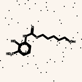 CCCCCCCCCCCCCCCOC(=O)Nc1cccc(C(=O)O)c1O